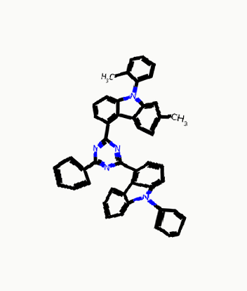 Cc1ccc2c3c(-c4nc(-c5ccccc5)nc(-c5cccc6c5c5ccccc5n6-c5ccccc5)n4)cccc3n(-c3ccccc3C)c2c1